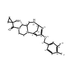 NC1(C(=O)N2CCN3C4=CC(OCc5ccc(F)c(F)c5)=NC(C4)NCC3C2)CC1